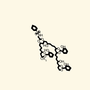 CC1CC(CCCC2CC(CC(O)CCCC3CC(CCCC(O)CC4CCOC(c5ccccc5O)O4)OC(c4ccccc4O)O3)OC(CNS(=O)(=O)c3ccccc3)O2)OC(c2ccccc2O)O1